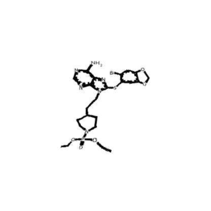 CCOP(=O)(OCC)N1CCC(CCn2c(Sc3cc4c(cc3Br)OCO4)nc3c(N)ncnc32)CC1